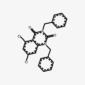 O=c1c2c(Cl)cc(Cl)cc2n(Cc2ccccc2)c(=O)n1Cc1ccccc1